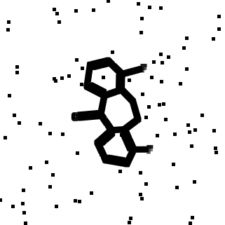 O=C1c2cccc(F)c2CCc2c(F)cccc21